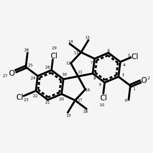 CC(=O)c1c(Cl)cc2c(c1Cl)C1(CC2(C)C)CC(C)(C)c2cc(Cl)c(C(C)=O)c(Cl)c21